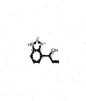 C=CC(O)c1cccc2[nH]nnc12